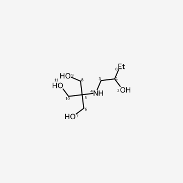 CCC(O)CNC(CO)(CO)CO